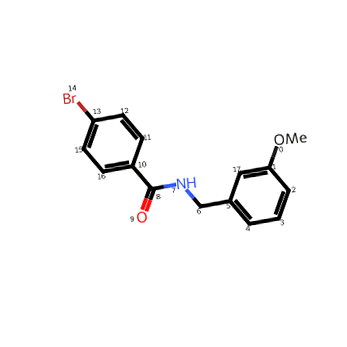 COc1cccc(CNC(=O)c2ccc(Br)cc2)c1